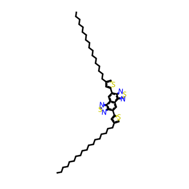 CCCCCCCCCCCCCCCCCCc1csc(-c2cc3c(cc(-c4cc(CCCCCCCCCCCCCCCCCC)cs4)c4nsnc43)c3nsnc23)c1